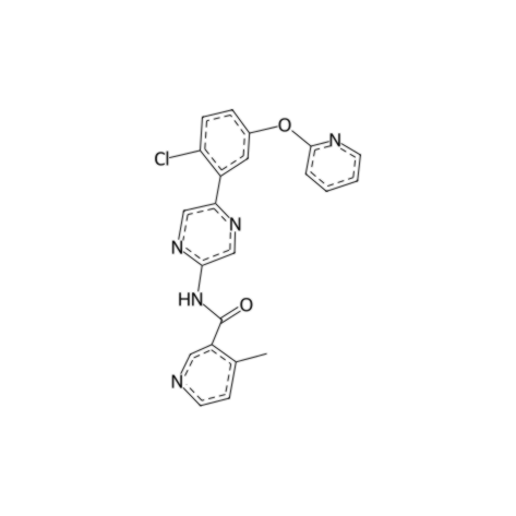 Cc1ccncc1C(=O)Nc1cnc(-c2cc(Oc3ccccn3)ccc2Cl)cn1